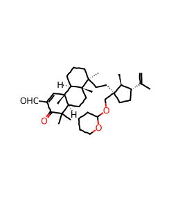 C=C(C)[C@@H]1CC[C@@](CC[C@]2(C)CCC[C@@H]3[C@@]4(C)C=C(C=O)C(=O)C(C)(C)[C@@H]4CC[C@]32C)(COC2CCCCO2)[C@H]1C